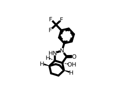 O=C1N(c2cccc(C(F)(F)F)c2)N[C@@H]2[C@H]3CC[C@H](CC3)[C@]12O